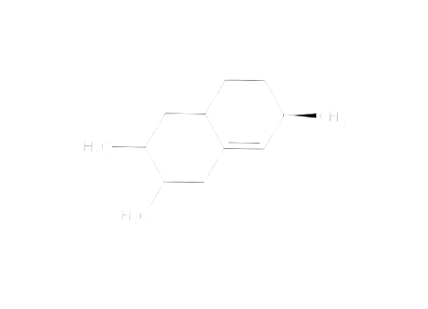 CC1CC2=C[C@H](C)CCC2CC1C